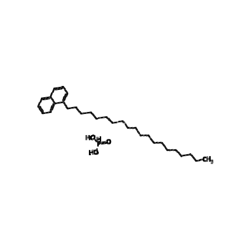 CCCCCCCCCCCCCCCCCCCCc1cccc2ccccc12.O=[PH](O)O